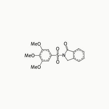 COc1cc(S(=O)(=O)N2Cc3ccccc3C2=O)cc(OC)c1OC